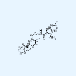 Cc1cnc2c(N)c(C(=O)NC3CCc4nc(N5CC6COC(C5)C6N)ccc4C3)sc2n1